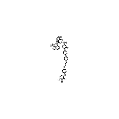 CS(=O)(=O)N1CCc2cccc(Nc3nc(Nc4ccc(N5CCC(N6CCN(CCCOc7ccc(OC8CCC(=O)NC8=O)cc7)CC6)CC5)c(F)c4)nc4[nH]ccc34)c21